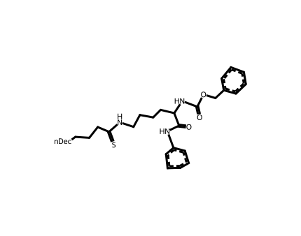 CCCCCCCCCCCCCC(=S)NCCCCC(NC(=O)OCc1ccccc1)C(=O)Nc1ccccc1